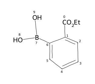 CCOC(=O)c1ccccc1B(O)O